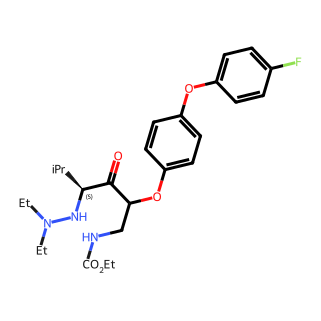 CCOC(=O)NCC(Oc1ccc(Oc2ccc(F)cc2)cc1)C(=O)[C@@H](NN(CC)CC)C(C)C